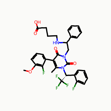 COc1cccc(-c2c(C)n([C@H](c3ccccc3F)C(F)(F)F)c(=O)n(CC(NCCCC(=O)O)c3ccccc3)c2=O)c1F